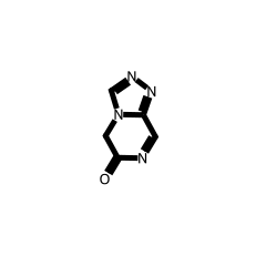 O=C1Cn2cnnc2C=N1